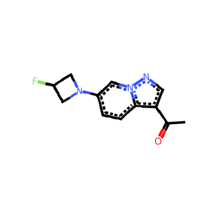 CC(=O)c1cnn2cc(N3CC(F)C3)ccc12